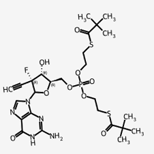 C#C[C@]1(F)C(n2cnc3c(=O)[nH]c(N)nc32)O[C@H](COP(=O)(OCCSC(=O)C(C)(C)C)OCCSC(=O)C(C)(C)C)[C@H]1O